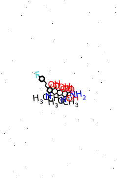 CN(C)c1cc(CCc2ccc(F)cc2)c(O)c2c1CC1CC3C(N(C)C)C(O)=C(C(N)=O)C(=O)C3(O)C(O)=C1C2=O